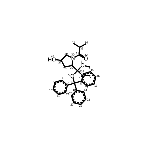 COC(OC)(OC(c1ccccc1)(c1ccccc1)c1ccccc1)C1CC(O)CN1C(=O)C(C)C